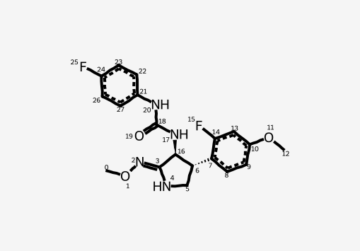 CON=C1NC[C@@H](c2ccc(OC)cc2F)[C@@H]1NC(=O)Nc1ccc(F)cc1